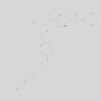 Cc1cn(C(C)C(=O)Nc2ccc3c(c2)CN(CCNC(=O)OC(C)(C)C)C3)c2ccc(S(=O)(=O)N3CCCCC3)cc12